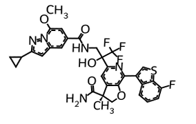 COc1cc(C(=O)NCC(O)(c2cc3c(c(-c4csc5c(F)cccc45)n2)OC[C@]3(C)C(N)=O)C(F)(F)F)cc2cc(C3CC3)nn12